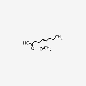 C=O.CCC/C=C/CCC(=O)O